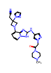 CN1CCN(C(=O)Cn2cc(NC3N=C4C(N5CC(CC#N)(n6cccn6)C5)=CC=CN4N3)cn2)CC1